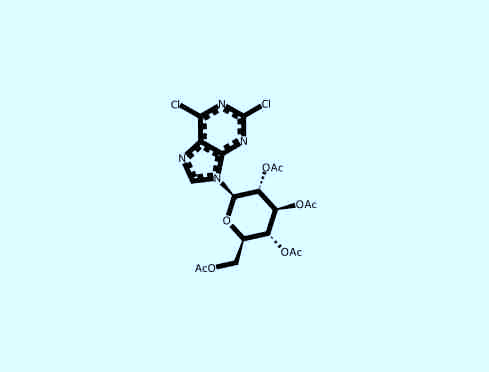 CC(=O)OC[C@H]1O[C@@H](n2cnc3c(Cl)nc(Cl)nc32)[C@H](OC(C)=O)[C@@H](OC(C)=O)[C@@H]1OC(C)=O